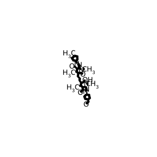 Cc1ccc(N2N=c3c(c(C)c(=CC=Cc4c(C)c5c(=O)n(-c6ccc(C=O)cc6)nc-5n(C)c4O)c(=O)n3C)C2=O)cc1